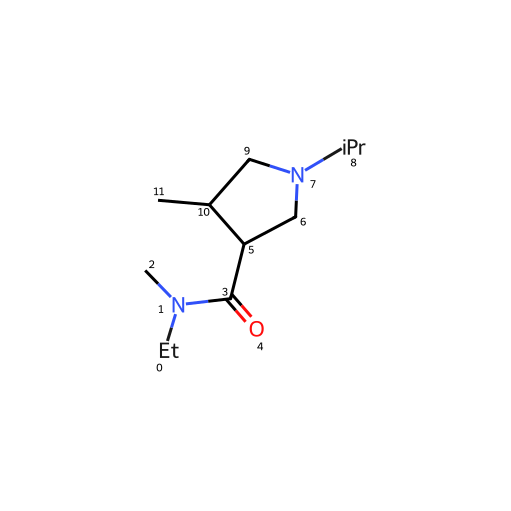 CCN(C)C(=O)C1CN(C(C)C)CC1C